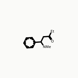 CCC(=O)CC(NC)c1ccccc1